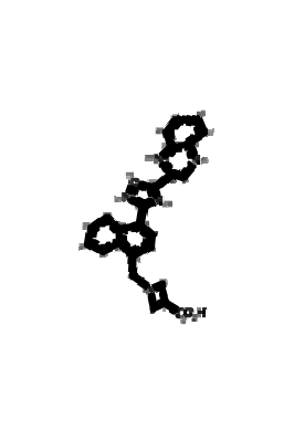 O=C(O)C1CN(Cc2ccc(-c3noc(-c4cnc5ccccc5n4)n3)c3ccccc23)C1